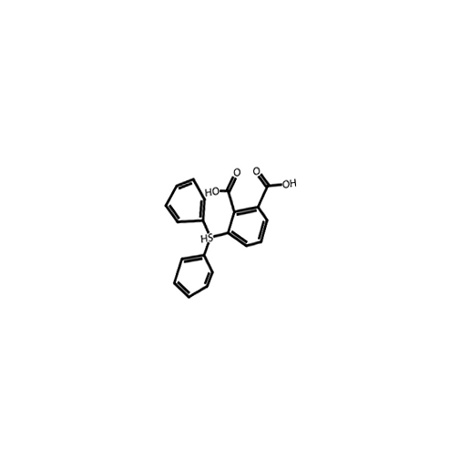 O=C(O)c1cccc([SH](c2ccccc2)c2ccccc2)c1C(=O)O